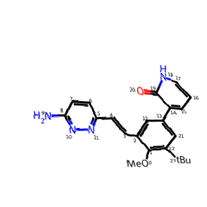 COc1c(/C=C/c2ccc(N)nn2)cc(-c2ccc[nH]c2=O)cc1C(C)(C)C